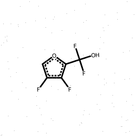 OC(F)(F)c1occ(F)c1F